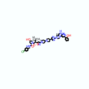 CC(C)C(C(=O)N1C[C@H](O)C[C@H]1C(=O)NCc1ccc(Cl)cc1)c1cc(N2CCC(N3CCC(c4cnc(N5CCN6c7cc(-c8ccccc8O)nnc7NC[C@H]6C5)nc4)CC3)CC2)no1